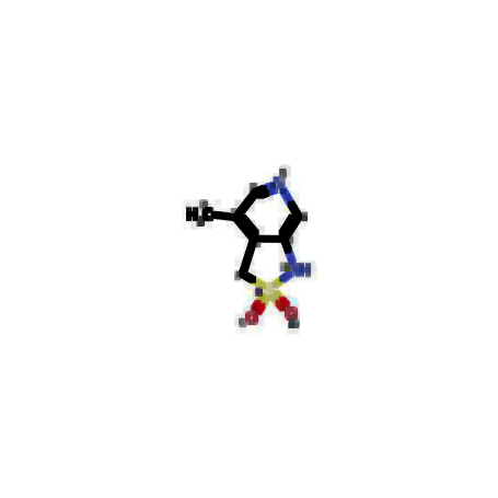 Cc1cncc2c1CS(=O)(=O)N2